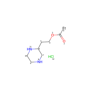 CCC(=O)OCCC1CNCCN1.Cl